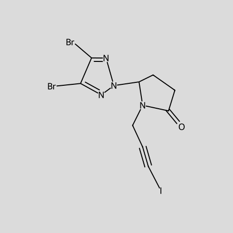 O=C1CCC(n2nc(Br)c(Br)n2)N1CC#CI